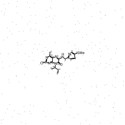 CSc1ccc(CNc2nc3c(C)nc(Cl)nc3n(C(C)CF)c2=O)nc1